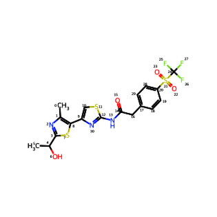 Cc1nc(C(C)O)sc1-c1csc(NC(=O)Cc2ccc(S(=O)(=O)C(F)(F)F)cc2)n1